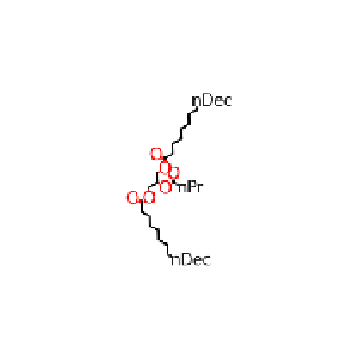 CCCCCCCCCCCCCCCCCC(=O)OCC(COC(=O)CCCCCCCCCCCCCCCCC)OC(=O)CCC